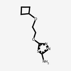 Nc1nnc(OCCOC2CCC2)s1